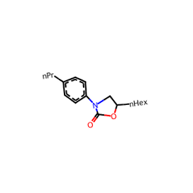 CCCCCCC1CN(c2ccc(CCC)cc2)C(=O)O1